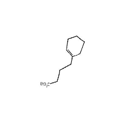 CCOC(=O)CCCC1=CCCCC1